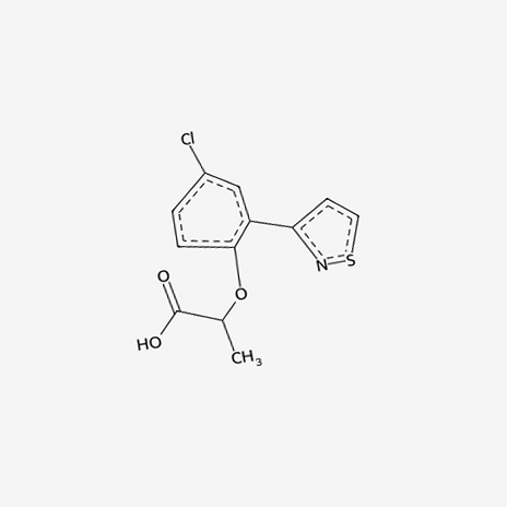 CC(Oc1ccc(Cl)cc1-c1ccsn1)C(=O)O